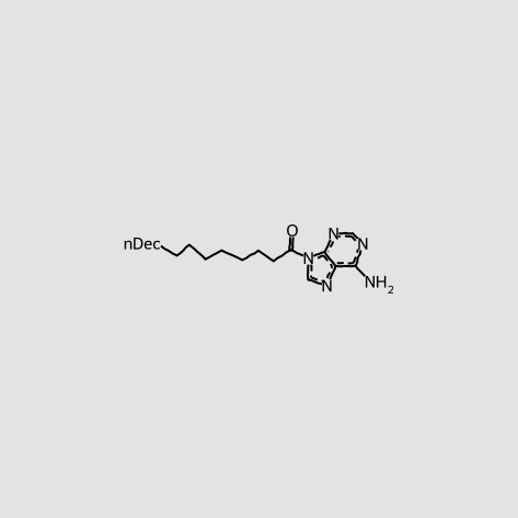 CCCCCCCCCCCCCCCCCC(=O)n1cnc2c(N)ncnc21